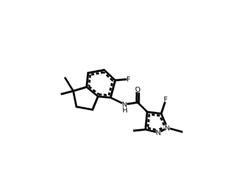 Cc1nn(C)c(F)c1C(=O)Nc1c(F)ccc2c1CCC2(C)C